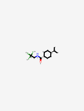 CC(C)[C@H]1CC[C@H](C(=O)NCC(F)(F)F)CC1